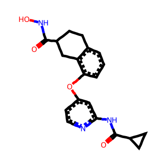 O=C(NO)C1CCc2cccc(Oc3ccnc(NC(=O)C4CC4)c3)c2C1